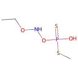 CCONOP(O)(=S)SC